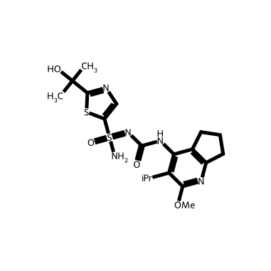 COc1nc2c(c(NC(=O)N=S(N)(=O)c3cnc(C(C)(C)O)s3)c1C(C)C)CCC2